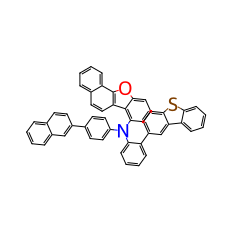 c1ccc(N(c2ccc(-c3ccc4ccccc4c3)cc2)c2cccc3oc4c5ccccc5ccc4c23)c(-c2ccc3sc4ccccc4c3c2)c1